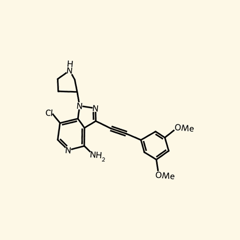 COc1cc(C#Cc2nn(C3CCNC3)c3c(Cl)cnc(N)c23)cc(OC)c1